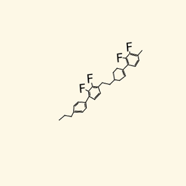 CCCc1ccc(-c2ccc(CCC3CC=C(c4ccc(C)c(F)c4F)CC3)c(F)c2F)cc1